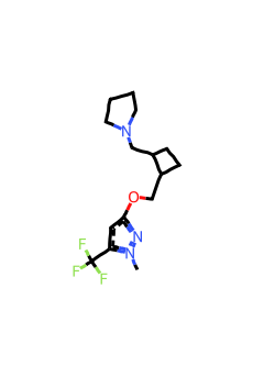 Cn1nc(OCC2CCC2CN2CCCC2)cc1C(F)(F)F